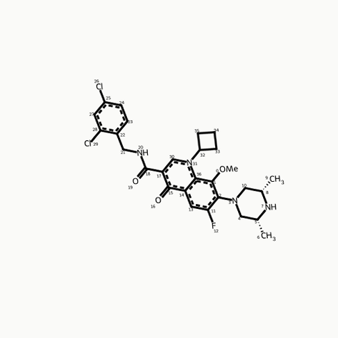 COc1c(N2C[C@@H](C)N[C@@H](C)C2)c(F)cc2c(=O)c(C(=O)NCc3ccc(Cl)cc3Cl)cn(C3CCC3)c12